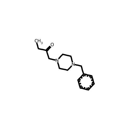 CCC(=O)CN1CCN(Cc2ccccc2)CC1